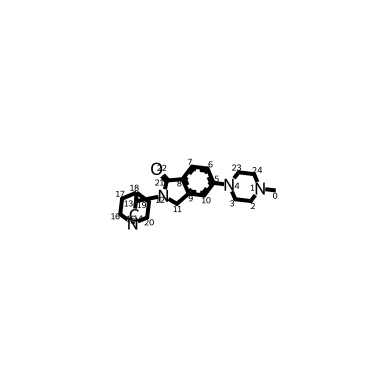 CN1CCN(c2ccc3c(c2)CN(C2CN4CCC2CC4)C3=O)CC1